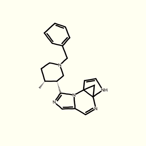 C[C@@H]1CCN(Cc2ccccc2)C[C@@H]1c1ncc2n1C13C=CNC1(C3)N=C2